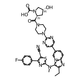 CCc1nc2ccc(-c3cnc(N4CCN(C(=O)[C@@H]5C[C@@H](O)CN5C(=O)O)CC4)nc3)cn2c1N(C)c1nc(-c2ccc(F)cc2)c(C#N)s1